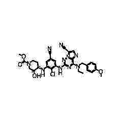 CCN(Cc1ccc(OC)cc1)c1nc(Nc2cc(C#N)cc(N[C@@H]3CCN(C(=O)OC)C[C@H]3O)c2Cl)nn2c(C#N)cnc12